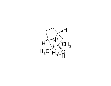 CC(C)[N@+]1(C)[C@@H]2CC[C@H]1C[C@H](O)C2